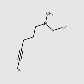 CC(C)C#CCCCN(C)CC(C)C